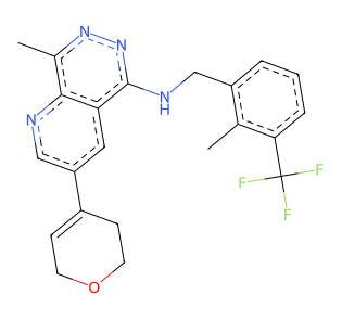 Cc1c(CNc2nnc(C)c3ncc(C4=CCOCC4)cc23)cccc1C(F)(F)F